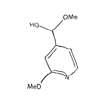 COc1cc(C(O)OC)ccn1